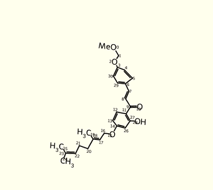 COCOc1ccc(/C=C/C(=O)c2ccc(OC/C=C(\C)CCC=C(C)C)cc2O)cc1